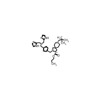 CCCOC(=O)[C@@H]1CC2(CCN(CC(C)(C)C)CC2)CN1Cc1ccc(CN(Cc2ncc[nH]2)Cc2ncc[nH]2)cc1